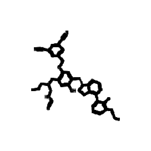 CCCc1cccc(-c2cccc3c2CC[C@@H]3Cc2cc(OCc3cc(C#N)cc(C#N)c3)c(CN(CCC)CNC=O)cc2O)c1C